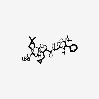 CN(C)C(=O)[C@@H](NC(=O)CNC(=O)C(=O)C(CC1CC1)NC(=O)[C@@H]1C2C(CN1C(=O)OC(C)(C)C)C2(C)C)c1ccccc1